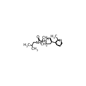 Cc1ncccc1C1=CCN(C(C)(C)C(=O)NCC(C)C)CC1